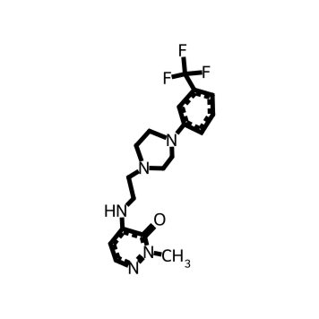 Cn1nccc(NCCN2CCN(c3cccc(C(F)(F)F)c3)CC2)c1=O